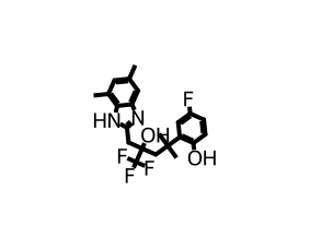 Cc1cc(C)c2[nH]c(CC(O)(CC(C)(C)c3cc(F)ccc3O)C(F)(F)F)nc2c1